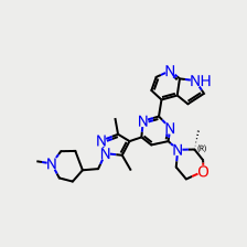 Cc1nn(CC2CCN(C)CC2)c(C)c1-c1cc(N2CCOC[C@H]2C)nc(-c2ccnc3[nH]ccc23)n1